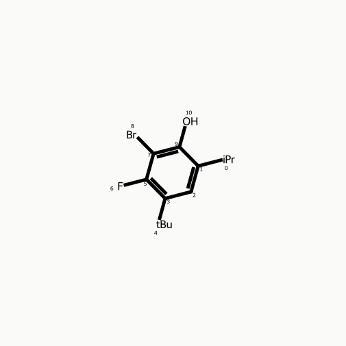 CC(C)c1cc(C(C)(C)C)c(F)c(Br)c1O